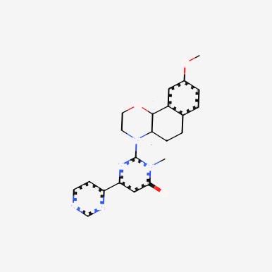 COc1ccc2c(c1)[C@@H]1OCCN(c3nc(-c4ccncn4)cc(=O)n3C)[C@@H]1CC2